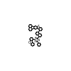 c1ccc(-c2nc(-c3cccc4c(-c5cccc6sc7cc8c(cc7c56)-c5cccc6cccc-8c56)cccc34)nc(-c3cccc4oc5ccccc5c34)n2)cc1